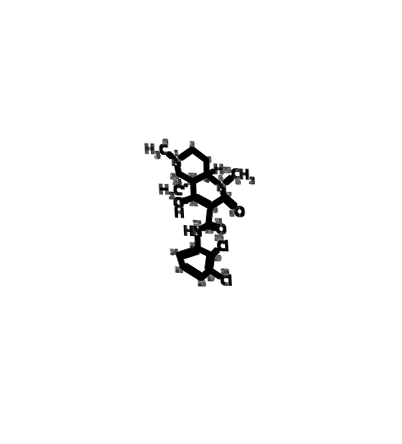 CN1CC[C@@H]2N(C)C(=O)C(C(=O)Nc3cccc(Cl)c3Cl)=C(O)[C@@]2(C)C1